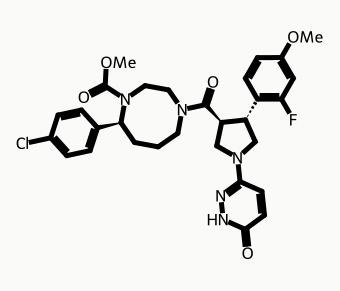 COC(=O)N1CCN(C(=O)[C@@H]2CN(c3ccc(=O)[nH]n3)C[C@H]2c2ccc(OC)cc2F)CCC[C@H]1c1ccc(Cl)cc1